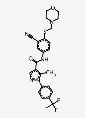 Cc1c(C(=O)Nc2ccc(SCN3CCOCC3)c(C#N)c2)cnn1-c1ccc(C(F)(F)F)cc1